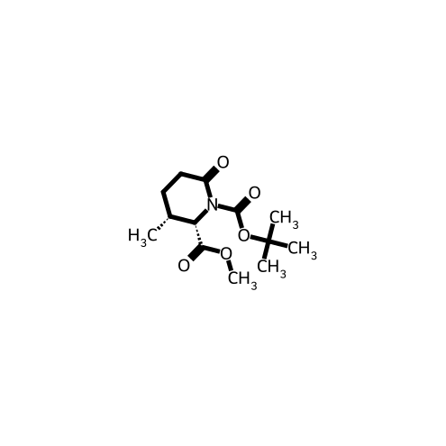 COC(=O)[C@@H]1[C@H](C)CCC(=O)N1C(=O)OC(C)(C)C